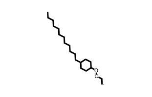 [CH2]COOC1CCC(CCCCCCCCCCCC)CC1